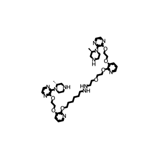 C[C@@H]1CNCCN1c1nccnc1OCCOc1cccnc1OCCCCCCNNCCOCCOc1ncccc1OCCOc1nccnc1N1CCNC[C@H]1C